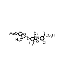 COc1ccc2c(c1)N(C)C[C@@H](COc1cc(C)c(C(=O)Nc3cc(Cl)cc(C(=O)C(=O)O)c3)c(C)c1)O2